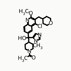 COc1nc2ccc(C(O)(c3cncn3C)C3CCN(C(C)=O)CC3)cc2c(Cl)c1CC1CCOCC1